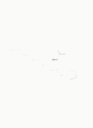 C=C(C)C(=O)OC(COCCCCCCCCCCCCCCCC)CN1C=CN(C)C1